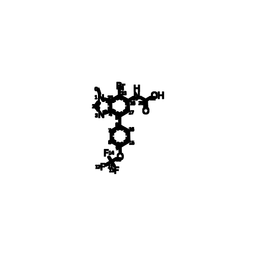 Cn1cnc2c(-c3ccc(OC(F)(F)F)cc3)cc(NC(=O)O)c(Br)c21